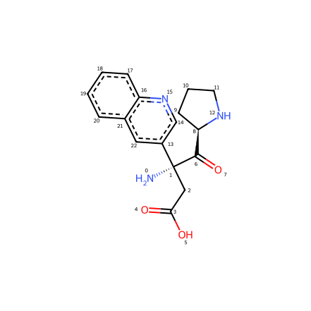 N[C@@](CC(=O)O)(C(=O)[C@H]1CCCN1)c1cnc2ccccc2c1